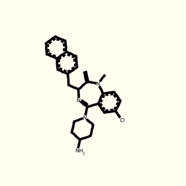 C=C1C(Cc2ccc3ccccc3c2)N=C(N2CCC(N)CC2)c2cc(Cl)ccc2N1C